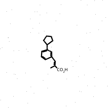 CC(=Cc1cccc(C2CCCC2)c1)C(=O)O